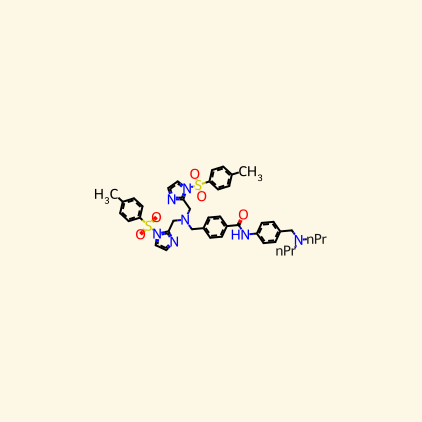 CCCN(CCC)Cc1ccc(NC(=O)c2ccc(CN(Cc3nccn3S(=O)(=O)c3ccc(C)cc3)Cc3nccn3S(=O)(=O)c3ccc(C)cc3)cc2)cc1